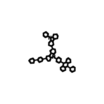 c1ccc(-c2ccc(-c3ccc4c(c3)c3cc(-c5ccc6c(c5)c5ccccc5n6-c5ccccc5)ccc3n4-c3ccc(-c4c5ccccc5c(-c5ccccc5)c5ccccc45)cc3)cc2)cc1